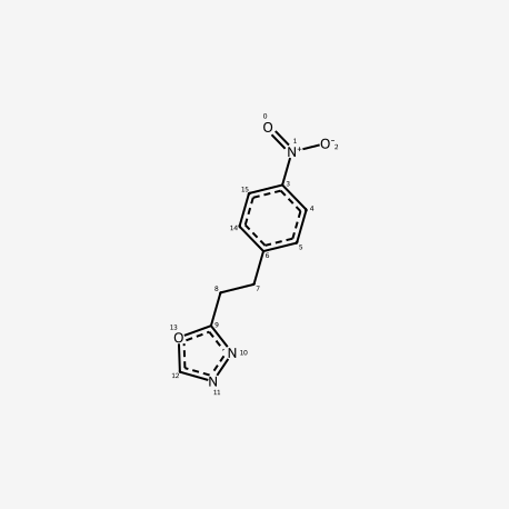 O=[N+]([O-])c1ccc(CCc2nnco2)cc1